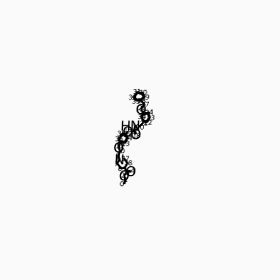 CCOC(=O)C1CCN(CCOc2ccc(OC(=O)NCc3cccc(OCc4ccccc4)c3)cc2)CC1